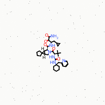 CC(C)(C)[C@H](NC(=O)NC1(Cc2ccccn2)CCCCC1)C(=O)N1C[C@H]2[C@@H]([C@H]1C(=O)NC(CC1CC1)C(=O)C(N)=O)C21CCCC1